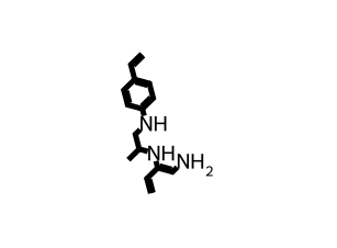 C=C/C(=C/N)NC(C)CNc1ccc(C=C)cc1